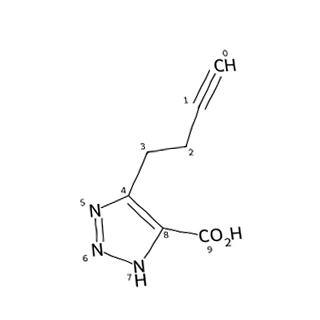 C#CCCc1nn[nH]c1C(=O)O